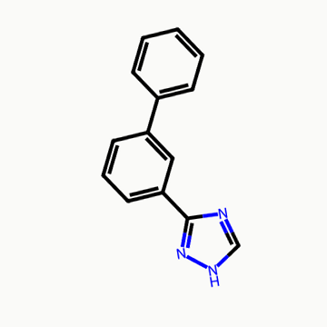 c1ccc(-c2cccc(-c3nc[nH]n3)c2)cc1